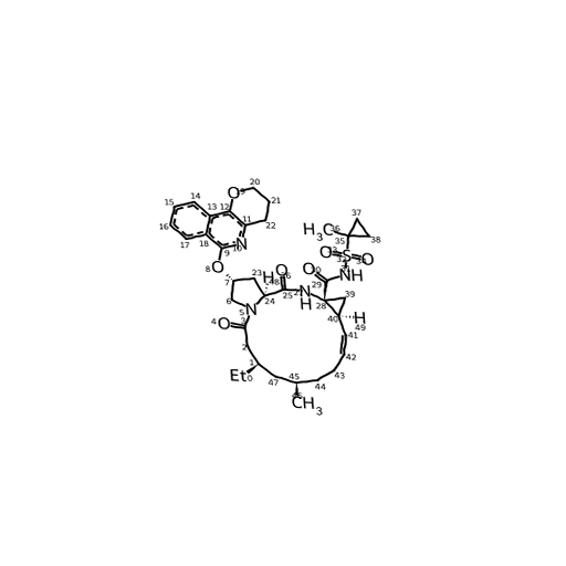 CC[C@H]1CC(=O)N2C[C@H](Oc3nc4c(c5ccccc35)OCCC4)C[C@H]2C(=O)N[C@]2(C(=O)NS(=O)(=O)C3(C)CC3)C[C@H]2/C=C\CC[C@@H](C)C1